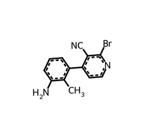 Cc1c(N)cccc1-c1ccnc(Br)c1C#N